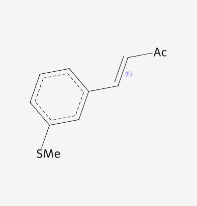 CSc1cccc(/C=C/C(C)=O)c1